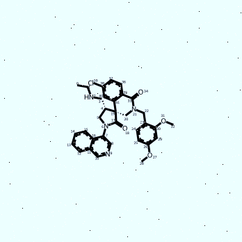 CCNC[C@H]1CN(c2cncc3ccccc23)C(=O)[C@@]12CN(Cc1ccc(OC)cc1OC)C(=O)c1ccc(Cl)cc12